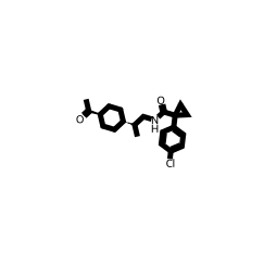 CC(=O)[C@H]1CC[C@H](C(C)CNC(=O)C2(c3ccc(Cl)cc3)CC2)CC1